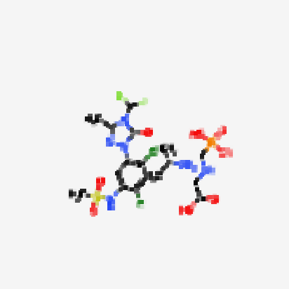 CC(C)N.Cc1nn(-c2cc(NS(C)(=O)=O)c(Cl)cc2Cl)c(=O)n1C(F)F.O=C(O)CNCP(=O)(O)O